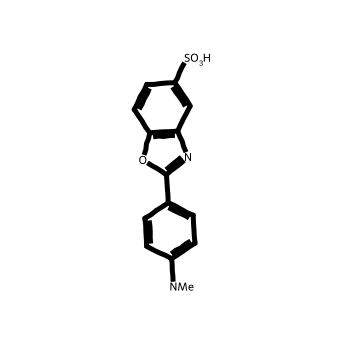 CNc1ccc(-c2nc3cc(S(=O)(=O)O)ccc3o2)cc1